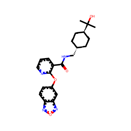 CC(C)(O)[C@H]1CC[C@H](CNC(=O)c2cccnc2Oc2ccc3nonc3c2)CC1